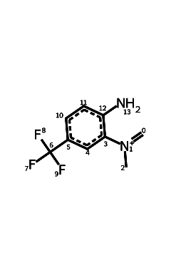 C=[N+](C)c1cc(C(F)(F)F)ccc1N